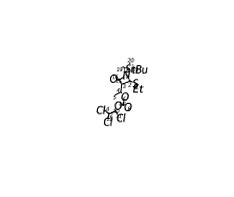 CCSC1C(C(C)OC(=O)OC(Cl)C(Cl)Cl)C(=O)N1[Si](C)(C)C(C)(C)C